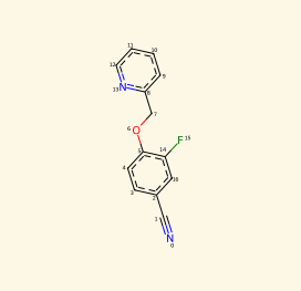 N#Cc1ccc(OCc2ccccn2)c(F)c1